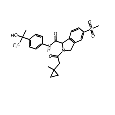 CC1(CC(=O)N2Cc3cc(S(C)(=O)=O)ccc3C2C(=O)Nc2ccc(C(C)(O)C(F)(F)F)cc2)CC1